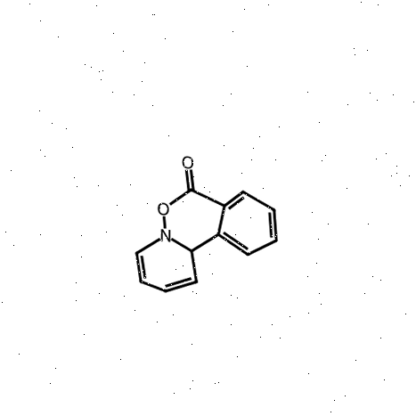 O=C1ON2C=CC=CC2c2ccccc21